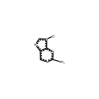 Nc1ncc2ncn(Cl)c2n1